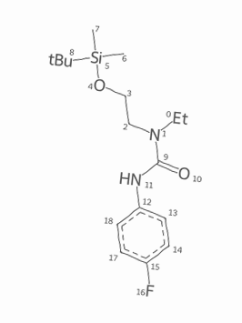 CCN(CCO[Si](C)(C)C(C)(C)C)C(=O)Nc1ccc(F)cc1